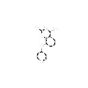 CCc1nc(=O)oc2c(Oc3ccncc3)cccc12